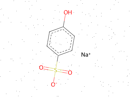 O=S(=O)([O-])c1ccc(O)cc1.[Na+]